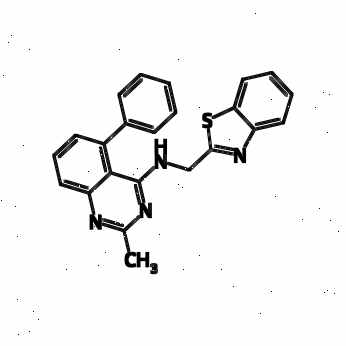 Cc1nc(NCc2nc3ccccc3s2)c2c(-c3ccccc3)cccc2n1